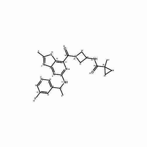 Cc1nc2nc(NC(C)c3cncc(F)c3)nc(C(=O)N3CC(NC(=O)C4(C)CC4)C3)c2s1